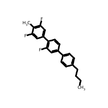 CCCCc1ccc(-c2ccc(-c3cc(F)c(C)c(F)c3)c(F)c2)cc1